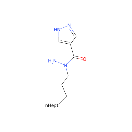 CCCCCCCCCCN(N)C(=O)c1cn[nH]c1